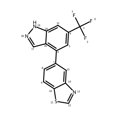 FC(F)(F)c1cc(-c2ccc3scnc3c2)c2cn[nH]c2c1